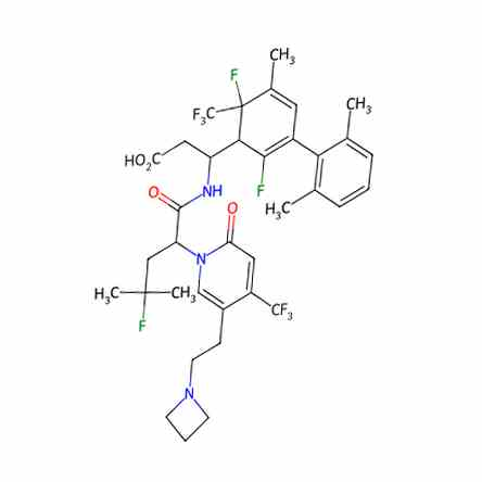 CC1=CC(c2c(C)cccc2C)=C(F)C(C(CC(=O)O)NC(=O)C(CC(C)(C)F)n2cc(CCN3CCC3)c(C(F)(F)F)cc2=O)C1(F)C(F)(F)F